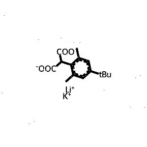 Cc1cc(C(C)(C)C)cc(C)c1C(C(=O)[O-])C(=O)[O-].[K+].[Li+]